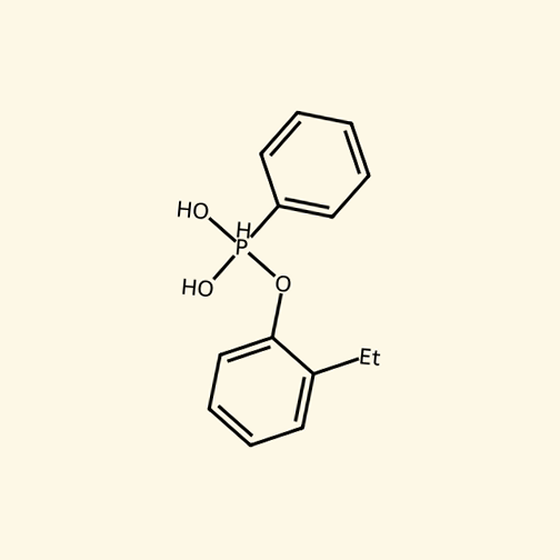 CCc1ccccc1O[PH](O)(O)c1ccccc1